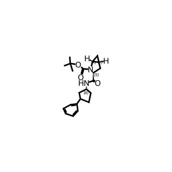 CC(C)(C)OC(=O)N1[C@@H]2C[C@@H]2C[C@H]1C(=O)N[C@@H]1CCC(c2ccccc2)C1